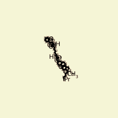 CC(C)CCC[C@@H](C)[C@H]1CCC2C3CC=C4CC(OC(=O)NCCCCCC(=O)N[C@@H](CO)[C@@H](O)c5ccccc5)CC[C@]4(C)C3CC[C@@]21C